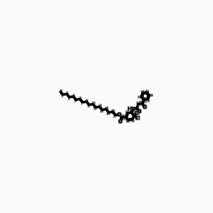 CCCCCCCCCCCCCCCCCCOC(=O)C1=CC(NC(=O)CC(=O)c2ccccc2)C(Cl)(Cl)C=C1